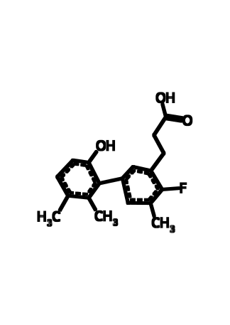 Cc1ccc(O)c(-c2cc(C)c(F)c(CCC(=O)O)c2)c1C